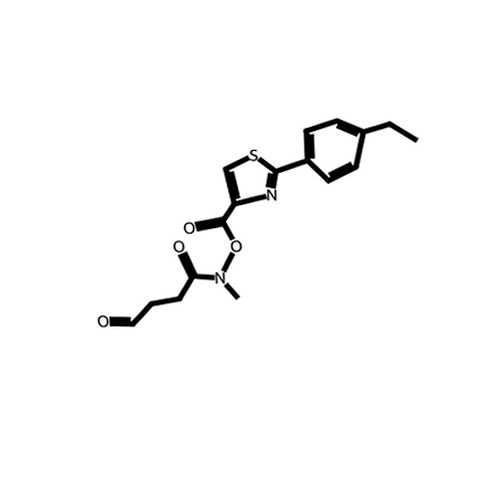 CCc1ccc(-c2nc(C(=O)ON(C)C(=O)CCC=O)cs2)cc1